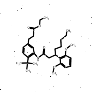 CCCCCC(CC(=O)Nc1cc(CCC(=O)OCC)ccc1C(C)(C)C)c1c(OC)cccc1OC